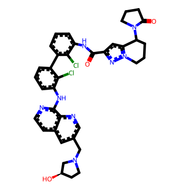 O=C(Nc1cccc(-c2cccc(Nc3nccc4cc(CN5CC[C@@H](O)C5)cnc34)c2Cl)c1Cl)c1cc2n(n1)CCCC2N1CCCC1=O